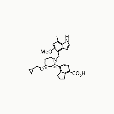 COc1cc(C)c2[nH]ccc2c1CN1CC[C@H](OCC2CC2)C[C@@H]1c1ccc(C(=O)O)c2c1CCC2